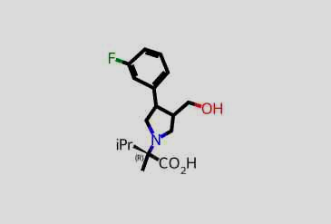 CC(C)[C@](C)(C(=O)O)N1CC(CO)C(c2cccc(F)c2)C1